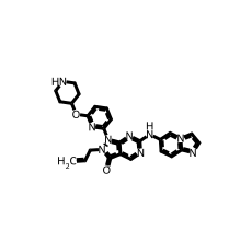 C=CCn1c(=O)c2cnc(Nc3ccc4nccn4c3)nc2n1-c1cccc(OC2CCNCC2)n1